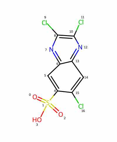 O=S(=O)(O)c1cc2nc(Cl)c(Cl)nc2cc1Cl